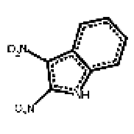 O=[N+]([O-])c1[nH]c2ccccc2c1[N+](=O)[O-]